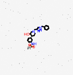 CC(C)S(=O)(=O)NC1=CC=CC([C@@H]2CCN(Cc3cn(Cc4ccccc4)nn3)C[C@@H]2O)C1